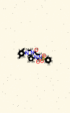 Cc1ccc(C)c(N2CCN(C(=O)C3CN(S(=O)(=O)c4ccccc4)C(=O)N3C3CCCC3)CC2)c1